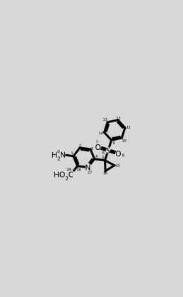 Nc1ccc(C2(S(=O)(=O)c3ccccc3)CC2)nc1C(=O)O